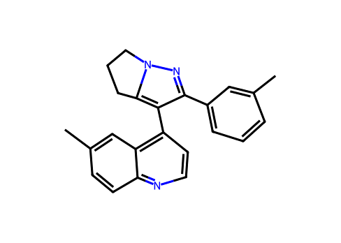 Cc1cccc(-c2nn3c(c2-c2ccnc4ccc(C)cc24)CCC3)c1